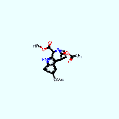 CCCOC(=O)C1c2[nH]c3ccc(OC)cc3c2C2CCN1C2OC(=O)C(F)(F)F